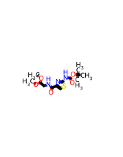 COC(CNC(=O)c1csc(NC(=O)OC(C)(C)C)n1)OC